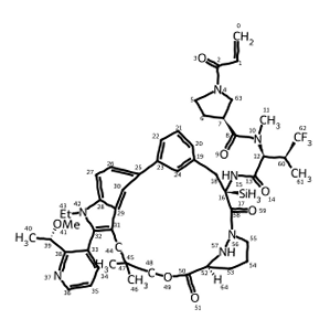 C=CC(=O)N1CC[C@H](C(=O)N(C)[C@H](C(=O)N[C@@]2([SiH3])Cc3cccc(c3)-c3ccc4c(c3)c(c(-c3cccnc3[C@H](C)OC)n4CC)CC(C)(C)COC(=O)[C@@H]3CCCN(N3)C2=O)[C@H](C)C(F)(F)F)C1